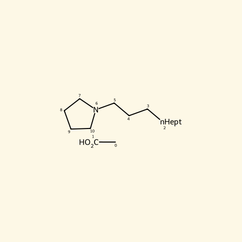 CC(=O)O.CCCCCCCCCCN1CCCC1